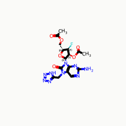 CC(=O)OC[C@H]1O[C@@H](n2c(=O)n(Cc3nnn[nH]3)c3cnc(N)nc32)[C@H](OC(C)=O)[C@@H]1F